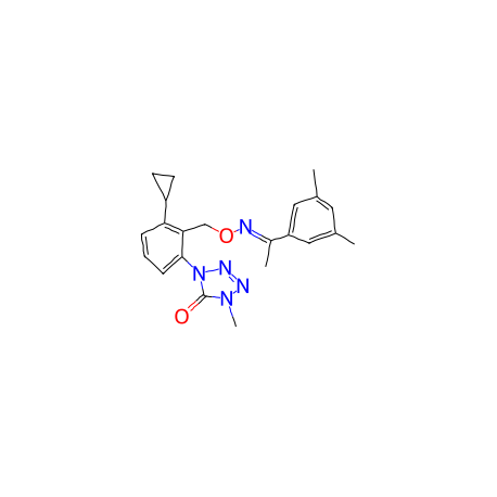 CC(=NOCc1c(C2CC2)cccc1-n1nnn(C)c1=O)c1cc(C)cc(C)c1